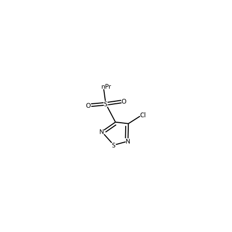 CCCS(=O)(=O)c1nsnc1Cl